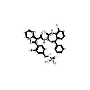 O=C(N[C@H]1N=C(c2ccccc2)c2cccc(F)c2NC1=O)c1c(-c2ccc(COP(=O)(O)O)cc2F)nn2cccnc12